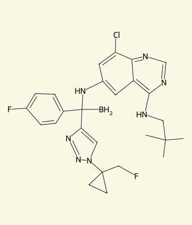 BC(Nc1cc(Cl)c2ncnc(NCC(C)(C)C)c2c1)(c1ccc(F)cc1)c1cn(C2(CF)CC2)nn1